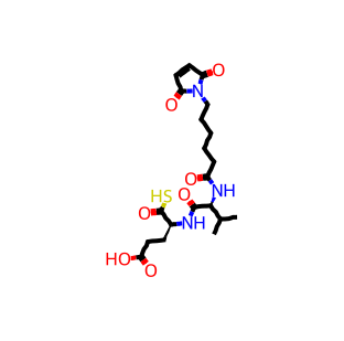 CC(C)[C@H](NC(=O)CCCCCN1C(=O)C=CC1=O)C(=O)N[C@@H](CCC(=O)O)C(=O)S